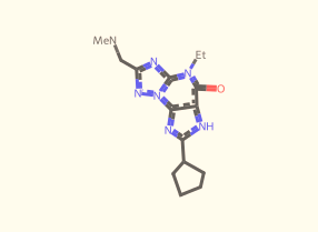 CCn1c(=O)c2[nH]c(C3CCCC3)nc2n2nc(CNC)nc12